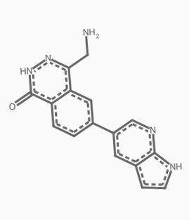 NCc1n[nH]c(=O)c2ccc(-c3cnc4[nH]ccc4c3)cc12